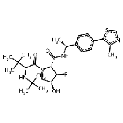 Cc1ncsc1-c1ccc([C@H](C)NC(=O)[C@@H]2[C@@H](F)[C@@H](O)CN2C(=O)[C@@H](NC(C)(C)C)C(C)(C)C)cc1